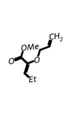 C=CCOC(=CCC)C(=O)OC